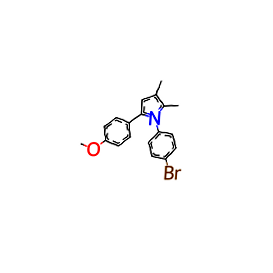 COc1ccc(-c2cc(C)c(C)n2-c2ccc(Br)cc2)cc1